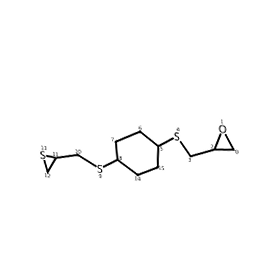 C1OC1CSC1CCC(SCC2CS2)CC1